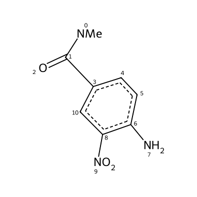 CNC(=O)c1ccc(N)c([N+](=O)[O-])c1